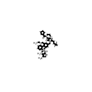 CCOCc1cc(CN2C(=O)[C@]3(CCCN(C(=O)C4CCCC4)C3)N=C2CCC(F)(F)F)ccc1-c1ccccc1S(=O)(=O)Nc1noc(C)c1C